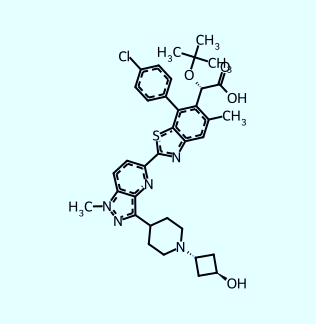 Cc1cc2nc(-c3ccc4c(n3)c(C3CCN([C@H]5C[C@H](O)C5)CC3)nn4C)sc2c(-c2ccc(Cl)cc2)c1[C@H](OC(C)(C)C)C(=O)O